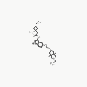 C[C@]1(CC(=O)Nc2c[nH]c3ccc(OCC[C@@H]4C[C@@H]5CN(CC(F)(F)F)C[C@@H]5C4)cc23)C[C@@H](CO)C1